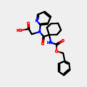 O=C(O)CN(C(=O)C1(NC(=O)OCc2ccccc2)CCCCC1)c1ccccn1